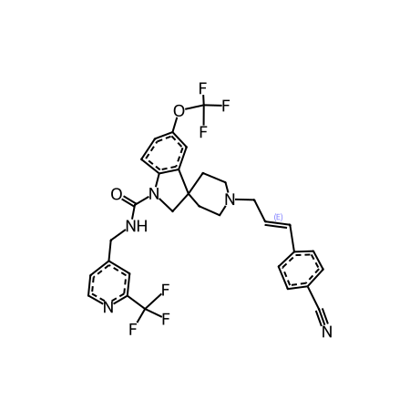 N#Cc1ccc(/C=C/CN2CCC3(CC2)CN(C(=O)NCc2ccnc(C(F)(F)F)c2)c2ccc(OC(F)(F)F)cc23)cc1